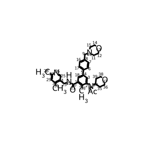 CC(=O)N(c1cc(-c2ccc(CN3CCOCC3)cc2)cc(C(=O)NCc2cnc(C)cc2C)c1C)C1CCOCC1